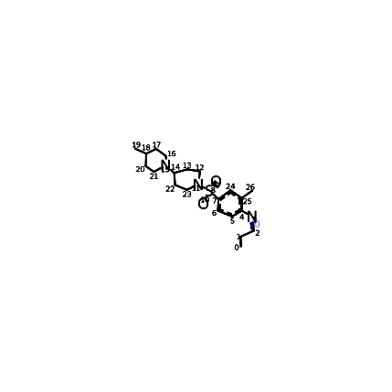 CC/C=N\c1ccc(S(=O)(=O)N2CCC(N3CCC(C)CC3)CC2)cc1C